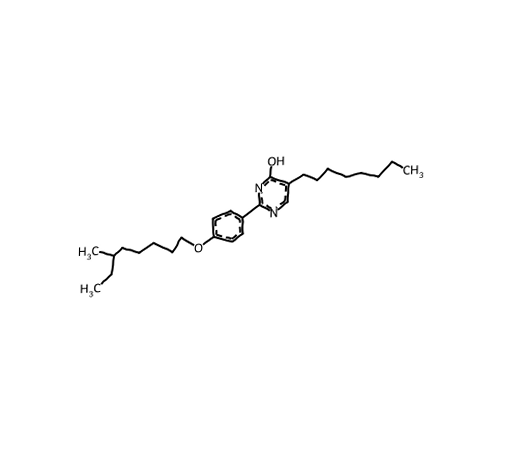 CCCCCCCCc1cnc(-c2ccc(OCCCCCC(C)CC)cc2)nc1O